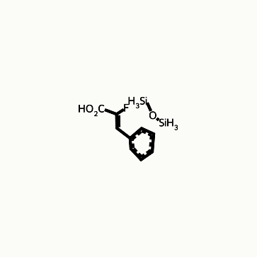 O=C(O)C(F)=Cc1ccccc1.[SiH3]O[SiH3]